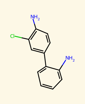 Nc1ccc(-c2ccccc2N)cc1Cl